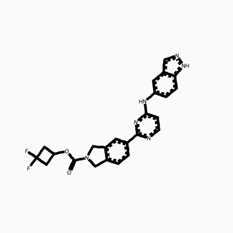 O=C(OC1CC(F)(F)C1)N1Cc2ccc(-c3nccc(Nc4ccc5[nH]ncc5c4)n3)cc2C1